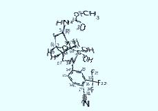 COC(=O)N[C@@H]1C[C@@H]2O[C@H]1[C@H]1[C@@H]2CN(c2ccc(C#N)c(C(F)(F)F)c2)S1(O)O